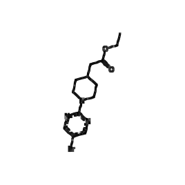 CCOC(=O)CC1CCN(c2ncc(Br)cn2)CC1